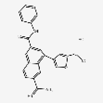 CCSc1cc(-c2cc(C(=O)Nc3ccccc3)cc3ccc(C(=N)N)cc23)co1.Cl